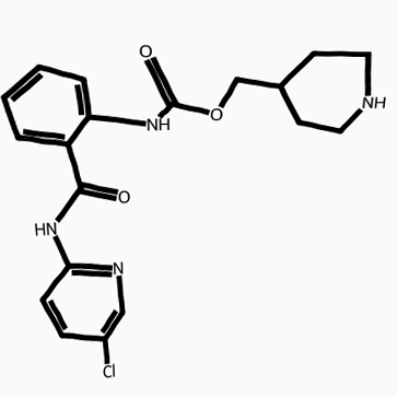 O=C(Nc1ccccc1C(=O)Nc1ccc(Cl)cn1)OCC1CCNCC1